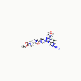 CN(CC(=O)N1CCN(c2nc(-c3cnc(N)nc3C(F)F)nc(N3CCOCC3)n2)CC1)CC1CCN(C(=O)OC(C)(C)C)CC1